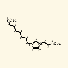 CCCCCCCCCCCCCCCCCN1C=CN(CCCCCCCCCCCC)C1